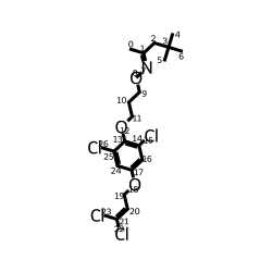 C/C(CC(C)(C)C)=N\OCCCOc1c(Cl)cc(OCC=C(Cl)Cl)cc1Cl